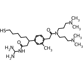 Cc1cc(C(CCCCCS)CC(=O)NC(N)N)ccc1CC(=O)N(CCCN(C)C)CCCN(C)C